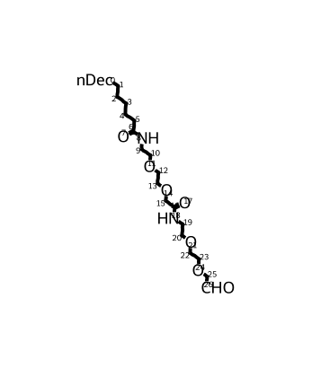 CCCCCCCCCCCCCCCC(=O)NCCOCCOCC(=O)NCCOCCOCC=O